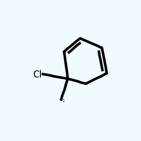 [CH]C1(Cl)C=CC=CC1